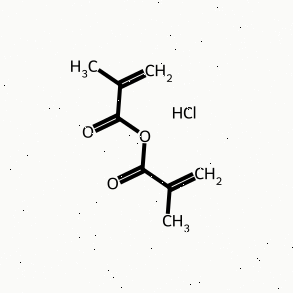 C=C(C)C(=O)OC(=O)C(=C)C.Cl